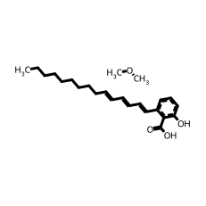 CCCCCCCCCC=CC=CC=Cc1cccc(O)c1C(=O)O.COC